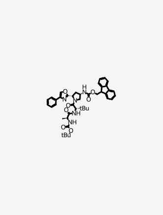 C[C@H](NC(=O)OC(C)(C)C)C(=O)N[C@H](C(=O)N1C[C@@H](NC(=O)OCC2c3ccccc3-c3ccccc32)C[C@H]1c1nc(-c2ccccc2)co1)C(C)(C)C